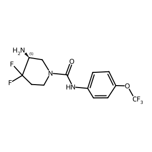 N[C@H]1CN(C(=O)Nc2ccc(OC(F)(F)F)cc2)CCC1(F)F